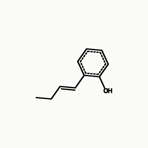 CCC=Cc1ccccc1O